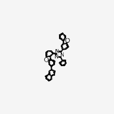 c1ccc(-c2nc(-c3ccc4oc5ccccc5c4c3)nc(-c3cccc4oc5cc(-c6ccc7ccccc7c6)ccc5c34)n2)cc1